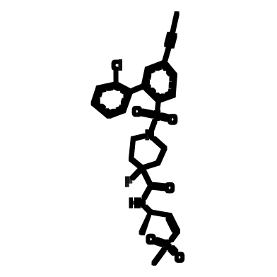 CC#Cc1ccc(S(=O)(=O)N2CCC(F)(C(=O)N[C@H](C)/C=C\S(C)(=O)=O)CC2)c(-c2ccccc2Cl)c1